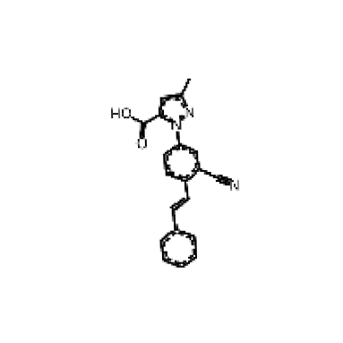 Cc1cc(C(=O)O)n(-c2ccc(C=Cc3ccccc3)c(C#N)c2)n1